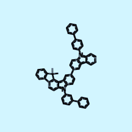 CC1(C)c2ccccc2-c2ccc3c(c21)c1cc(-c2ccc4c(c2)c2ccccc2n4-c2ccc(-c4ccccc4)cc2)ccc1n3-c1cccc(-c2ccccc2)c1